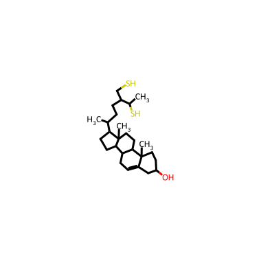 CC(S)C(CS)CCC(C)C1CCC2C3CC=C4CC(O)CCC4(C)C3CCC12C